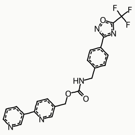 O=C(NCc1ccc(-c2noc(C(F)(F)F)n2)cc1)OCc1ccc(-c2cccnc2)nc1